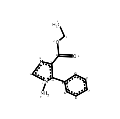 CCOC(=O)c1ncn(N)c1-c1ccccc1